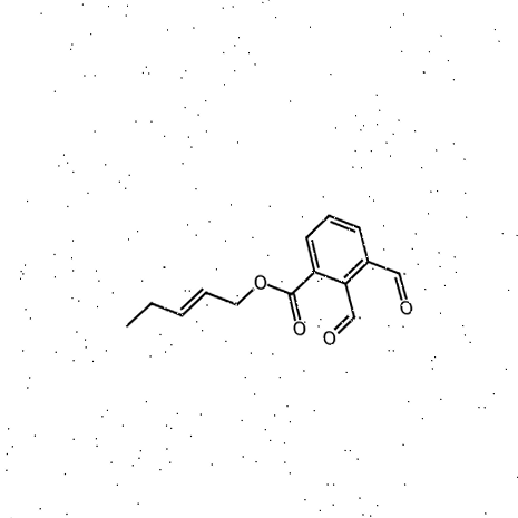 CCC=CCOC(=O)c1cccc([C]=O)c1[C]=O